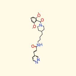 COc1cccc(OC)c1C(=O)N1CCC(CCCCNC(=O)/C=C/c2ccnnc2)CC1